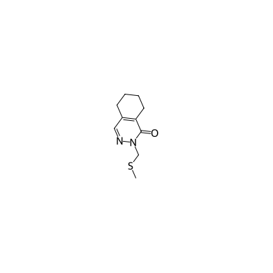 CSCn1ncc2c(c1=O)CCCC2